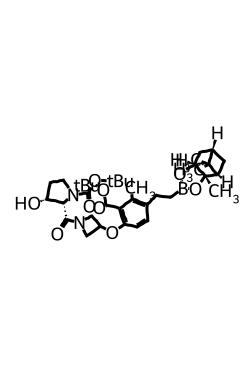 Cc1c(CCB2O[C@@H]3C[C@@H]4C[C@@H](C4(C)C)[C@]3(C)O2)ccc(OC2CN(C(=O)[C@@H]3[C@H](O)CCN3C(=O)OC(C)(C)C)C2)c1C(=O)OC(C)(C)C